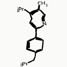 Cc1cnc(-c2ccc(CC(C)C)cc2)cc1C(C)C